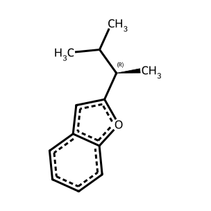 CC(C)[C@@H](C)c1cc2ccccc2o1